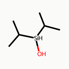 CC(C)[SiH](O)C(C)C